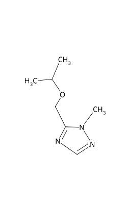 CC(C)OCc1ncnn1C